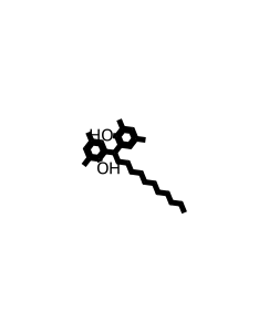 CCCCCCCCCCCC(c1cc(C)cc(C)c1O)c1cc(C)cc(C)c1O